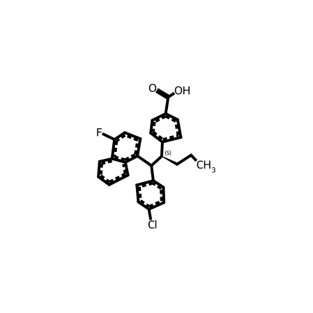 CCC[C@H](c1ccc(C(=O)O)cc1)C(c1ccc(Cl)cc1)c1ccc(F)c2ccccc12